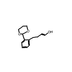 O/C=C/CCc1ccccc1C1OCCCO1